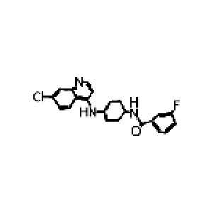 O=C(NC1CCC(Nc2ccnc3cc(Cl)ccc23)CC1)c1cccc(F)c1